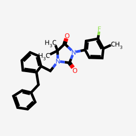 Cc1ccc(N2C(=O)N(Cc3ccccc3Cc3ccccc3)C(C)(C)C2=O)cc1F